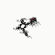 C[N+](C)(C)c1ccc(-c2c3nc(c(-c4ccc([N+](C)(C)C)cc4)c4ccc([nH]4)c(-c4ccc([N+](C)(C)C)cc4)c4nc(c(-c5ccc([N+](C)(C)C)cc5)c5ccc2[nH]5)C=C4)C=C3)cc1.Cc1ccc(S(=O)(=O)O)cc1.Cc1ccc(S(=O)(=O)O)cc1.Cc1ccc(S(=O)(=O)O)cc1.Cc1ccc(S(=O)(=O)O)cc1